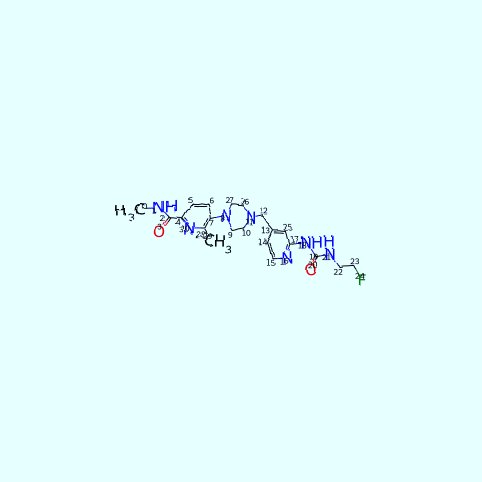 CNC(=O)c1ccc(N2CCN(Cc3ccnc(NC(=O)NCCF)c3)CC2)c(C)n1